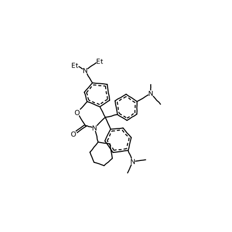 CCN(CC)c1ccc2c(c1)OC(=O)N(C1CCCCC1)C2(c1ccc(N(C)C)cc1)c1ccc(N(C)C)cc1